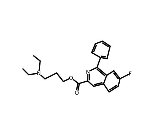 CCN(CC)CCCOC(=O)c1cc2ccc(F)cc2c(-c2ccccc2)n1